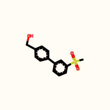 CS(=O)(=O)c1cccc(-c2ccc(CO)cc2)c1